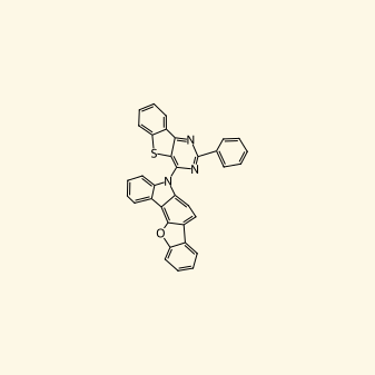 c1ccc(-c2nc(-n3c4ccccc4c4c5oc6ccccc6c5ccc43)c3sc4ccccc4c3n2)cc1